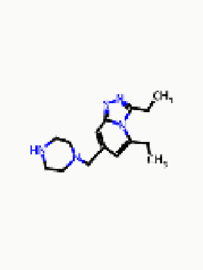 CCc1cc(CN2CCNCC2)cc2nnc(CC)n12